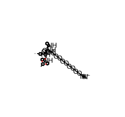 [CH2]c1ccc(NC(=O)[C@H](CCCCNC(c2ccccc2)(c2ccccc2)c2ccc(C)cc2)NC(=O)[C@H](Cc2c[nH]c3ccccc23)NC(=O)CCOCCOCCOCCOCCOCCOCCOCCOCCOCCN=[N+]=[N-])cc1